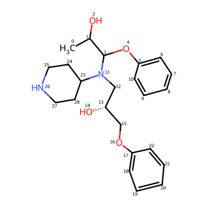 CC(O)C(Oc1ccccc1)N(C[C@@H](O)COc1ccccc1)C1CCNCC1